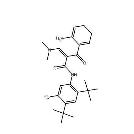 CN(C)/C=C(\C(=O)Nc1cc(O)c(C(C)(C)C)cc1C(C)(C)C)C(=O)C1=CCCC=C1P